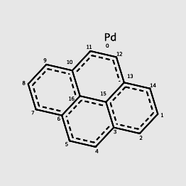 [Pd].c1cc2ccc3cccc4ccc(c1)c2c34